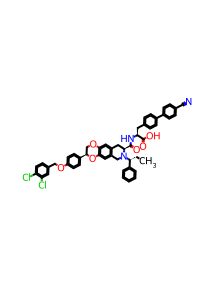 CC[C@H](c1ccccc1)N1Cc2cc3c(cc2C[C@H]1C(=O)N[C@@H](Cc1ccc(-c2ccc(C#N)cc2)cc1)C(=O)O)OC[C@H](c1ccc(OCc2ccc(Cl)c(Cl)c2)cc1)O3